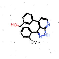 COc1ccccc1-c1n[nH]c2nccc(-c3cccc(CO)c3)c12